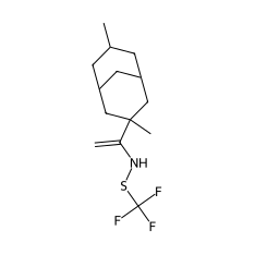 C=C(NSC(F)(F)F)C1(C)CC2CC(C)CC(C2)C1